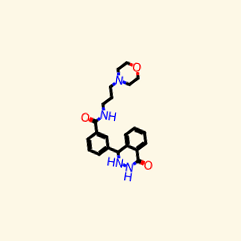 O=C(NCCCN1CCOCC1)c1cccc(C2NNC(=O)c3ccccc32)c1